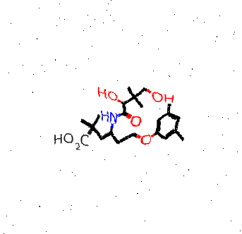 Cc1cc(C)cc(OCCC(CC(C)(C)C(=O)O)NC(=O)C(O)C(C)(C)CO)c1